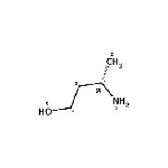 C[C@H](N)CCO